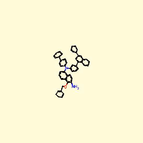 Nc1ccc2c(N(c3ccc(-c4ccccc4)cc3)c3cccc(-c4cc(-c5ccccc5)cc5ccccc45)c3)cccc2c1OCC1=CCCC=C1